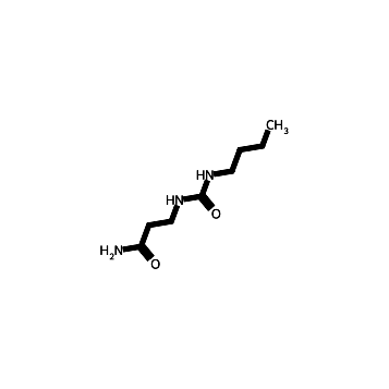 CCCCNC(=O)NCCC(N)=O